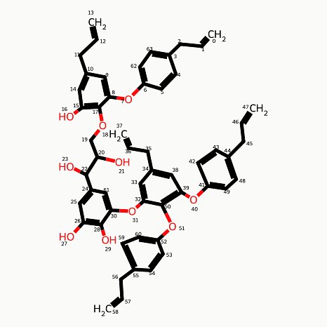 C=CCc1ccc(Oc2cc(CC=C)cc(O)c2OCC(O)C(O)c2cc(O)c(O)c(Oc3cc(CC=C)cc(Oc4ccc(CC=C)cc4)c3Oc3ccc(CC=C)cc3)c2)cc1